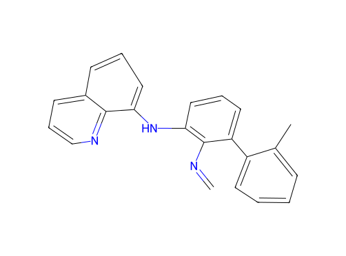 C=Nc1c(Nc2cccc3cccnc23)cccc1-c1ccccc1C